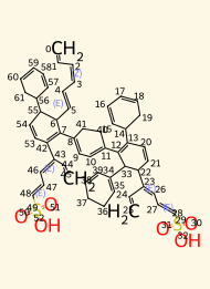 C=C/C=C\C=C\C1C(C2=CC=C(C3=C(C4C=CC=CC4)C=CC(/C(C=C)=C/C=C/S(=O)(=O)O)C3C3=CCCC=C3)CC2)=C(/C(C=C)=C/C=C/S(=O)(=O)O)C=CC1C1C=CC=CC1